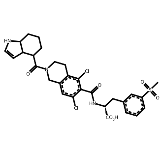 CS(=O)(=O)c1cccc(C[C@H](NC(=O)c2c(Cl)cc3c(c2Cl)CCN(C(=O)C2CCCC4NC=CC42)C3)C(=O)O)c1